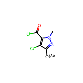 COc1nn(C)c(C(=O)Cl)c1Cl